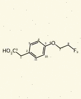 O=C(O)Cc1ccc(OCCF)cc1